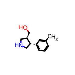 Cc1cccc([C@@H]2CNC[C@H]2CO)c1